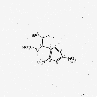 CCC(C)C(C)C(OC(=O)O)c1ccc([N+](=O)[O-])cc1[N+](=O)[O-]